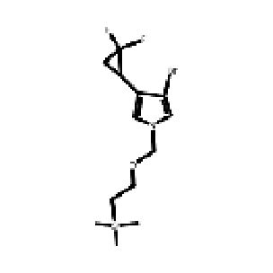 C[Si](C)(C)CCOCn1cc(Br)c(C2CC2(F)F)c1